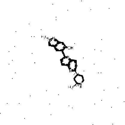 C[C@H]1C[C@@H](c2ccc3nc(-c4cc5cn(C)nc5cc4O)ccc3n2)CCN1